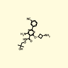 CC(C)(O)CONC(=O)c1c(N)nc(-c2cccc(C#N)c2)nc1O[C@H]1C[C@H](N)C1